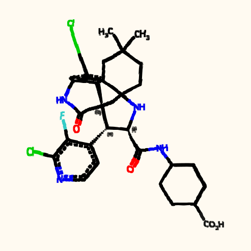 CC1(C)CCC2(CC1)N[C@@H](C(=O)NC1CCC(C(=O)O)CC1)[C@H](c1ccnc(Cl)c1F)[C@]21C(=O)Nc2cc(Cl)ccc21